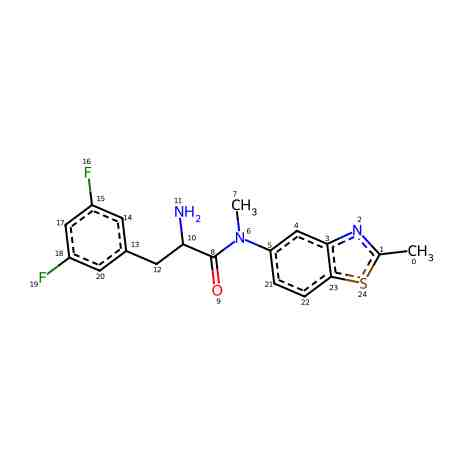 Cc1nc2cc(N(C)C(=O)C(N)Cc3cc(F)cc(F)c3)ccc2s1